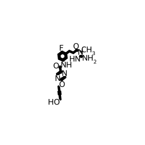 CN(C(=N)N)C(=O)CCc1cc(NC(=O)c2cnc(OCC#CCO)cn2)ccc1F